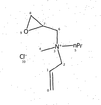 C=CC[N+](C)(CCC)CC1CO1.[Cl-]